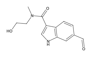 CN(CCO)C(=O)c1c[nH]c2cc(C=O)ccc12